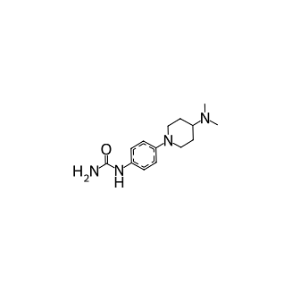 CN(C)C1CCN(c2ccc(NC(N)=O)cc2)CC1